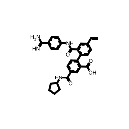 C=Cc1ccc(-c2ccc(C(=O)NC3CCCC3)cc2C(=O)O)c(C(=O)Nc2ccc(C(=N)N)cc2)c1